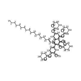 CCCCCCCCCCCCCCCCC=Cn1c(-c2ccc(OC3CCCCO3)c(OC)c2)c(OC2CCCCO2)c(=O)c2c(OC3CCCCO3)cc(OC3CCCCO3)cc21